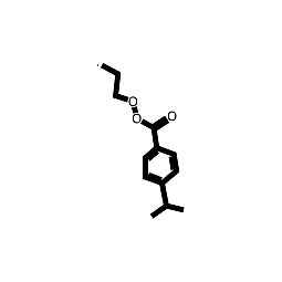 [CH2]CCOOC(=O)c1ccc(C(C)C)cc1